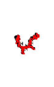 N#C/C(=C(/C#N)c1ccc(N(c2ccc(-c3ccccc3)cc2)c2ccc(-c3ccc(/N=C4\Nc5ccc(-c6ccc7c(c6)C6(c8ccccc8-c8ccccc86)c6ccccc6-7)c6cccc4c56)nc3)cc2)cc1)c1ccc(N(c2ccc(-c3ccccc3)cc2)c2ccc(-c3ccc(/N=C4\Nc5ccc(-c6ccc7c(c6)C6(c8ccccc8-c8ccccc86)c6ccccc6-7)c6cccc4c56)nc3)cc2)cc1